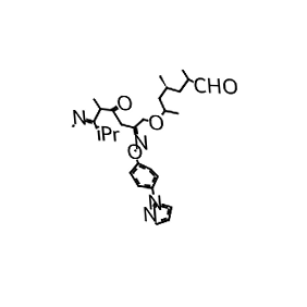 C/N=C(\C(C)C)C(C)C(=O)C/C(COC(C)C[C@@H](C)CC(C)C=O)=N\Oc1ccc(-n2cccn2)cc1